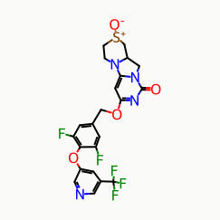 O=c1nc(OCc2cc(F)c(Oc3cncc(C(F)(F)F)c3)c(F)c2)cc2n1CC1C[S+]([O-])CCN21